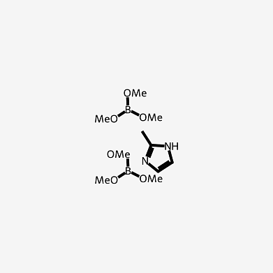 COB(OC)OC.COB(OC)OC.Cc1ncc[nH]1